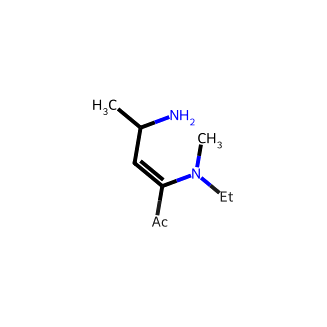 CCN(C)/C(=C\C(C)N)C(C)=O